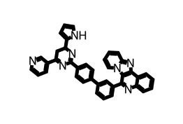 c1cncc(C2=NC(c3ccc(-c4cccc(-c5nc6ccccc6c6nc7ccccn7c56)c4)cc3)=NC(c3ccc[nH]3)C2)c1